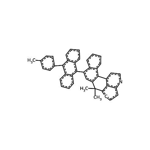 Cc1ccc(-c2c3ccccc3c(-c3cc4c(c5ccccc35)-c3ccnc5cccc(c35)C4(C)C)c3ccccc23)cc1